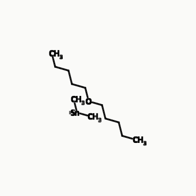 CCCCCOCCCCC.[CH3][Sn][CH3]